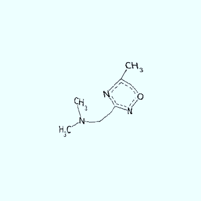 Cc1nc(CN(C)C)no1